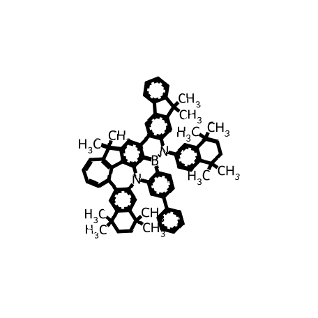 CC1(C)CCC(C)(C)c2cc(N3B4c5ccc(-c6ccccc6)cc5N5c6cc7c(cc6C6C=CC=CC8=C6c6c(cc(c4c65)-c4cc5c(cc43)C(C)(C)c3ccccc3-5)C8(C)C)C(C)(C)CCC7(C)C)ccc21